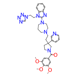 COc1cc(C(=O)N2CCC(CCN3CCCN(c4nc5ccccc5n4CCn4cnnn4)CC3)(c3cccnc3)C2)cc(OC)c1OC